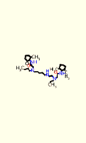 CCCCN(CCCCCNCCN(CCC)CC(=O)Nc1c(C)cccc1C)CC(=O)Nc1c(C)cccc1C